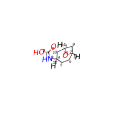 O=C(O)N[C@H]1CC[C@H]2C[C@H](C1)O2